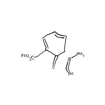 CCOC(=O)C1=CC=CCC1=O.P=NP